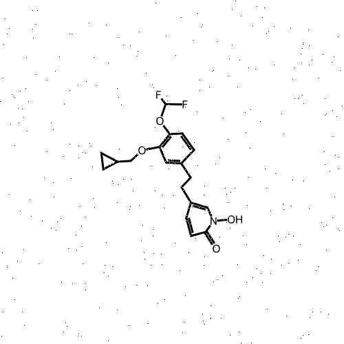 O=c1ccc(CCc2ccc(OC(F)F)c(OCC3CC3)c2)cn1O